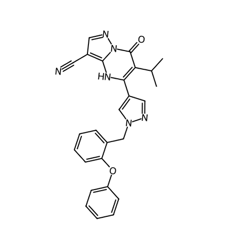 CC(C)c1c(-c2cnn(Cc3ccccc3Oc3ccccc3)c2)[nH]c2c(C#N)cnn2c1=O